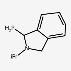 CC(C)N1Cc2ccccc2C1P